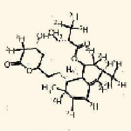 [2H]C1=C([2H])[C@]([2H])(C)[C@H](CCC2C[C@@H](O)C([2H])([2H])C(=O)O2)[C@@H]2C1=C([2H])[C@]([2H])(C([2H])([2H])[2H])C([2H])([2H])C2OC(=O)[C@H](CC)C([2H])([2H])[2H]